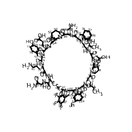 CCCC[C@H]1C(=O)N2CCC[C@@H]2C(=O)N[C@@H](CC(=O)O)C(=O)N[C@@H](C(C)C)C(=O)N(C)[C@@H](Cc2ccccc2)C(=O)N[C@@H](CCN)C(=O)N2CCCC[C@@H]2C(=O)N[C@H](CCC(=O)O)C(=O)N[C@@H](Cc2ccc(O)cc2)C(=O)N[C@@H](CCCN)C(=O)N[C@H](C(=O)NCC(N)=O)CSCC(=O)N[C@@H](Cc2cc(F)c(F)c(F)c2)C(=O)N(C)[C@@H](Cc2ccc(F)cc2)C(=O)N1C